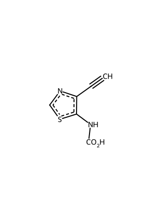 C#Cc1ncsc1NC(=O)O